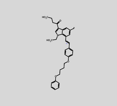 O=C(O)CCC(=O)c1cn(CC(=O)O)c2c(/C=C/c3ccc(OCCCCOc4ccccc4)cc3)cc(F)cc12